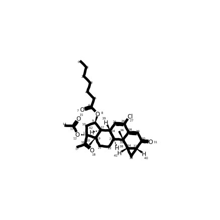 CCCCCCC(=O)O[C@@H]1C[C@](OC(C)=O)(C(C)=O)[C@@]2(C)CC[C@H]3[C@@H](C=C(Cl)C4=CC(=O)[C@@H]5C[C@@H]5[C@@]43C)[C@H]12